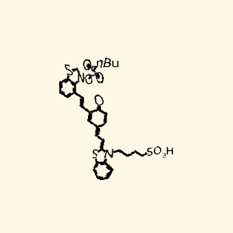 CCCCS(=O)(=O)ON1CSc2cccc(/C=C/C3=CC(=C/C=C4\Sc5ccccc5N4CCCCS(=O)(=O)O)/C=CC3=O)c21